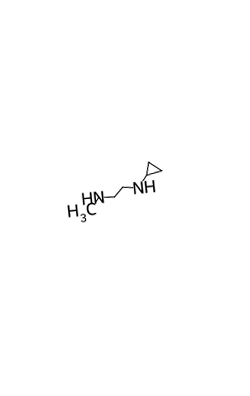 CNCCNC1CC1